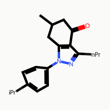 CCCc1nn(-c2ccc(C(C)C)cc2)c2c1C(=O)CC(C)C2